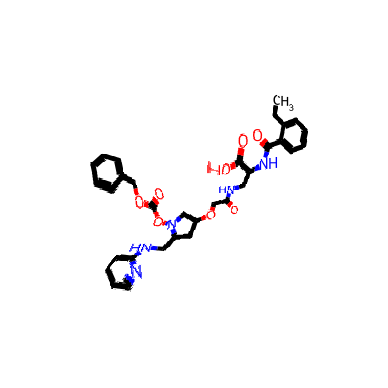 CCc1ccccc1C(=O)NC(CNC(=O)COC1CC(CNc2ccccn2)N(OC(=O)OCc2ccccc2)C1)C(=O)O